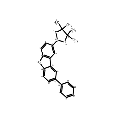 CC1(C)OB(c2ccc3oc4ccc(-c5ccccc5)cc4c3c2)OC1(C)C